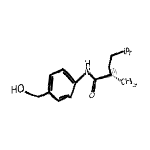 CC(C)C[C@H](C)C(=O)Nc1ccc(CO)cc1